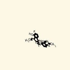 CCC[C@@H]1CC(O)(C(F)(F)F)[C@@H](Nc2cccc3nc(C)ncc23)c2ccc(F)c(O)c21